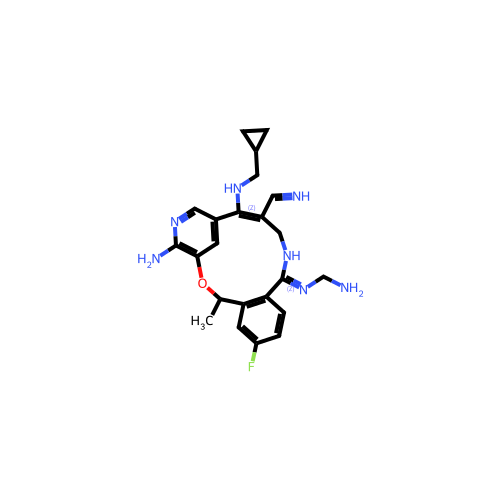 CC1Oc2cc(cnc2N)/C(NCC2CC2)=C(/C=N)CN/C(=N\CN)c2ccc(F)cc21